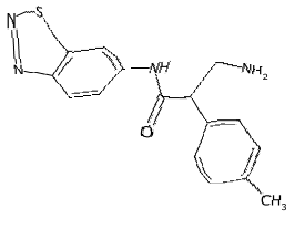 Cc1ccc(C(CN)C(=O)Nc2ccc3nnsc3c2)cc1